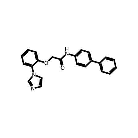 O=C(COc1ccccc1-n1ccnc1)Nc1ccc(-c2ccccc2)cc1